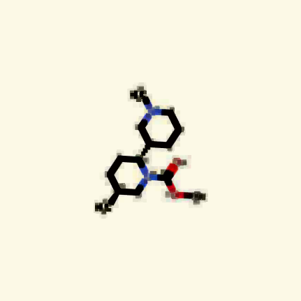 C[C@H]1CC[C@H](C2CCCN(C)C2)N(C(=O)OC(C)(C)C)C1